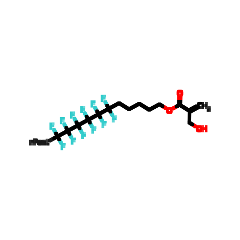 C=C(CO)C(=O)OCCCCCC(F)(F)C(F)(F)C(F)(F)C(F)(F)C(F)(F)C(F)(F)CCCCC